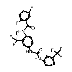 O=C(Nc1cccc(C(F)(F)F)c1)Nc1ccc(NC(=O)c2cc(F)ccc2F)c(C(F)(F)F)c1